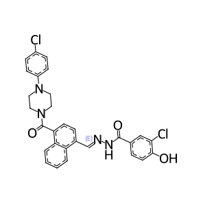 O=C(N/N=C/c1ccc(C(=O)N2CCN(c3ccc(Cl)cc3)CC2)c2ccccc12)c1ccc(O)c(Cl)c1